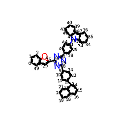 c1ccc2oc(-c3nc(-c4ccc(-c5cccc6ccccc56)cc4)nc(-c4ccc(-n5c6ccccc6c6ccccc65)cc4)n3)cc2c1